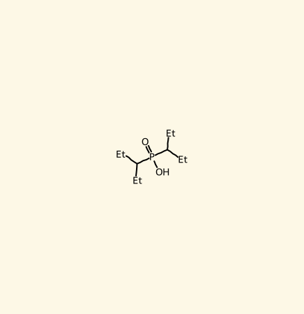 CCC(CC)P(=O)(O)C(CC)CC